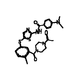 CC(=O)N1CCN(C(=O)c2cc(Sc3cnc(NC(=O)c4ccc(N(C)C)cc4)s3)ccc2C)CC1